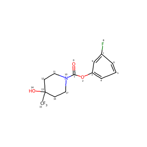 O=C(Oc1cccc(F)c1)N1CCC(O)(C(F)(F)F)CC1